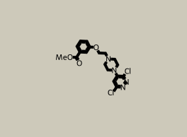 COC(=O)c1cccc(OCCN2CCN(c3cc(Cl)nnc3Cl)CC2)c1